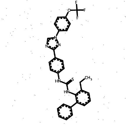 CCc1cccc(-c2ccccc2)c1NC(=S)Nc1ccc(-c2ncn(-c3ccc(OC(F)(F)F)cc3)n2)cc1